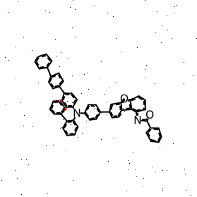 c1ccc(-c2ccc(-c3ccc(N(c4ccc(-c5ccc6c(c5)oc5ccc7oc(-c8ccccc8)nc7c56)cc4)c4ccccc4-c4ccccc4)cc3)cc2)cc1